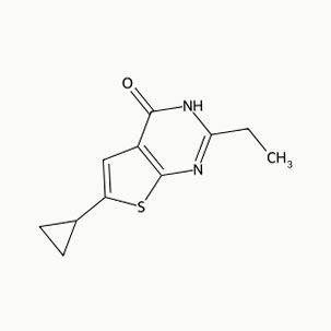 CCc1nc2sc(C3CC3)cc2c(=O)[nH]1